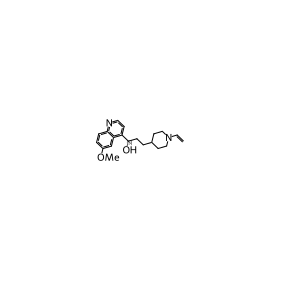 C=CN1CCC(CC[C@H](O)c2ccnc3ccc(OC)cc23)CC1